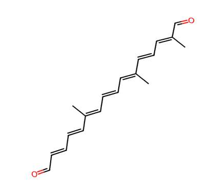 C\C(C=O)=C/C=C/C(C)=C/C=C/C=C(C)/C=C/C=C/C=O